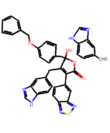 O=C1OC(O)(c2ccc(OCc3ccccc3)cc2)C(Cc2ccc3[nH]cnc3c2)=C1c1ccc2nsnc2c1.O=Cc1ccc2[nH]cnc2c1